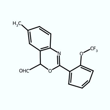 Cc1ccc2c(c1)C(C=O)OC(c1ccccc1OC(F)(F)F)=N2